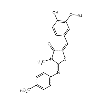 CCOc1cc(C=C2SC(=Nc3ccc(C(=O)O)cc3)N(C)C2=O)ccc1O